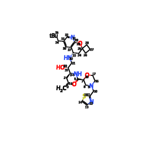 C=CC[C@H](NC(=O)[C@@H]1CN(Cc2nccs2)CCO1)[C@H](O)CN[C@H]1CC2(CCC2)Oc2ncc(CC(C)(C)C)cc21